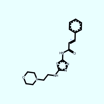 O=C(/C=C/c1ccccc1)Nc1nnc(NCCN2CCOCC2)s1